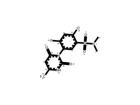 CN(C)S(=O)(=O)c1cc(-n2c(=O)cc(C(F)(F)F)[nH]c2=O)c(F)cc1Cl